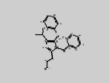 CC(C)c1nc(CCO)n(Cc2ccccn2)c1Sc1ccccc1